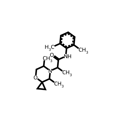 Cc1cccc(C)c1NC(=O)C(C)N1C(C)COC2(CC2)C1C